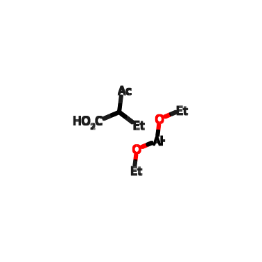 CCC(C(C)=O)C(=O)O.CC[O][Al][O]CC